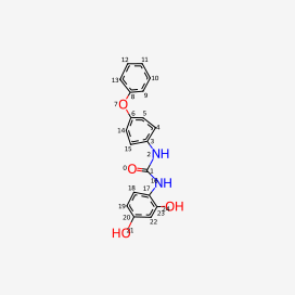 O=C(Nc1ccc(Oc2ccccc2)cc1)Nc1ccc(O)cc1O